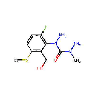 CCSc1ccc(F)c(N(N)C(=O)N(C)N)c1CO